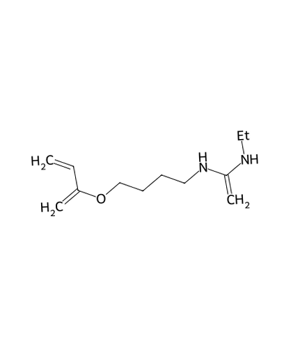 C=CC(=C)OCCCCNC(=C)NCC